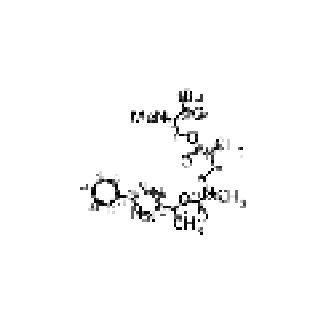 CN[C@H](COC(=O)N(C)CCN(C)C(=O)OC(C)c1nnc(-c2ccccc2)nn1)C(=O)C(C)(C)C